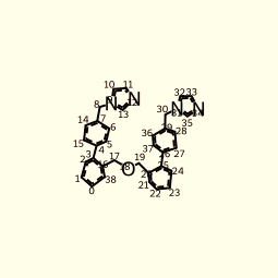 c1ccc(-c2ccc(Cn3ccnc3)cc2)c(COCc2ccccc2-c2ccc(Cn3ccnc3)cc2)c1